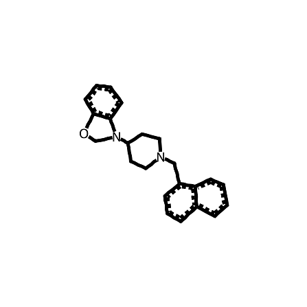 c1ccc2c(c1)OCN2C1CCN(Cc2cccc3ccccc23)CC1